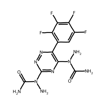 NC(=O)N(N)c1nnc(-c2cc(F)c(F)c(F)c2F)c(N(N)C(N)=O)n1